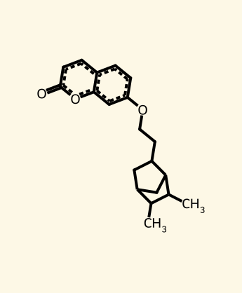 CC1C2CC(CCOc3ccc4ccc(=O)oc4c3)C(C2)C1C